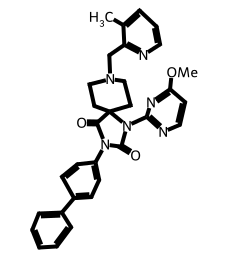 COc1ccnc(N2C(=O)N(c3ccc(-c4ccccc4)cc3)C(=O)C23CCN(Cc2ncccc2C)CC3)n1